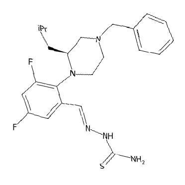 CC(C)C[C@H]1CN(Cc2ccccc2)CCN1c1c(F)cc(F)cc1/C=N/NC(N)=S